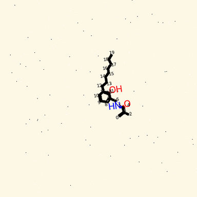 C=C(C)C(=O)NCc1c[c]cc(CCCCCCCC)c1O